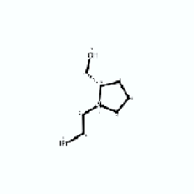 CC(C)CCN1CCC[C@H]1CO